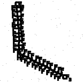 FC(F)(F)C(F)(F)C(F)(F)C(F)(F)C(F)(F)C(F)(F)C(F)(F)C(F)(F)C(F)(F)C(F)(F)C(F)(F)C(F)(F)NC(F)(F)C(F)(F)C(F)(F)C(F)(F)C(F)(F)C(F)(F)C(F)(F)C(F)(F)C(F)(F)C(F)(F)C(F)(F)C(F)(F)F